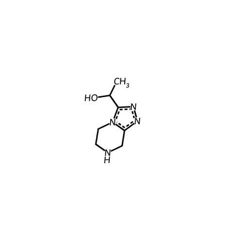 CC(O)c1nnc2n1CCNC2